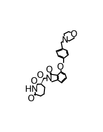 O=C1CCC[C@H](C(=O)N2Cc3cccc(OCc4ccc(CN5CCOCC5)cc4)c3C2=O)C(=O)N1